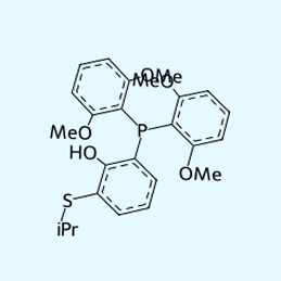 COc1cccc(OC)c1P(c1cccc(SC(C)C)c1O)c1c(OC)cccc1OC